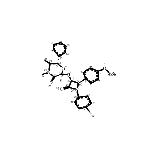 CCCCOc1ccc([C@@H]2[C@H](O[C@]3(C)O[C@@H](c4ccccc4)C(C)N(C)C3=O)C(=O)N2c2ccc(F)cc2)cc1